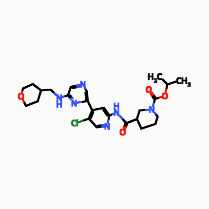 CC(C)OC(=O)N1CCCC(C(=O)Nc2cc(-c3cncc(NCC4CCOCC4)n3)c(Cl)cn2)C1